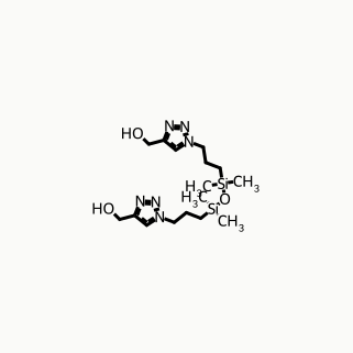 C[Si](C)(CCCn1cc(CO)nn1)O[Si](C)(C)CCCn1cc(CO)nn1